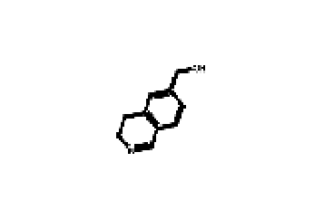 OCc1ccc2c(c1)CCN=C2